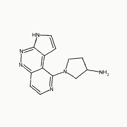 NC1CCN(c2nccc3nnc4[nH]ccc4c23)C1